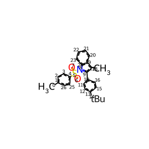 Cc1ccc(S(=O)(=O)n2c(-c3ccc(C(C)(C)C)cc3)c(C)c3ccccc32)cc1